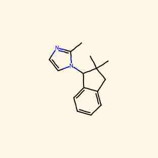 Cc1nccn1C1c2ccccc2CC1(C)C